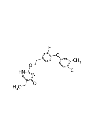 CCc1c[nH]c(OCCc2ccc(Oc3ccc(Cl)c(C)c3)c(F)c2)nc1=O